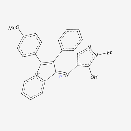 CCn1ncc(/N=C2\C(c3ccccc3)=C(c3ccc(OC)cc3)[n+]3ccccc32)c1O